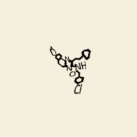 COc1ccc2c(c1)CCc1nc(NC(=O)Cc3ccc(Cl)cc3)c(CCc3ccccc3)nc1-2